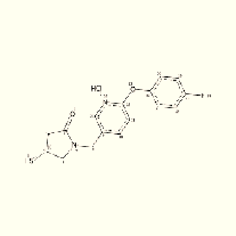 Cl.O=C1C[C@@H](S)CN1Cc1ccc(Oc2ccc(F)cc2)nc1